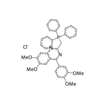 COc1ccc(-c2nc(C[P+](c3ccccc3)(c3ccccc3)c3ccccc3)nc3cc(OC)c(OC)cc23)cc1OC.[Cl-]